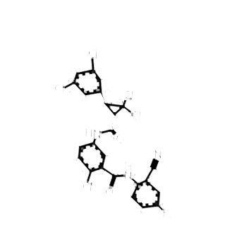 N#Cc1cc(F)ccc1NC(=O)c1cc(NC(=O)[C@@H]2[C@@H](c3cc(Cl)cc(Cl)c3)C2(Cl)Cl)ccc1Cl